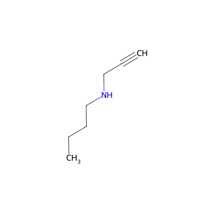 C#CCNCCCC